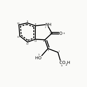 O=C(O)CC(O)=C1C(=O)Nc2ccccc21